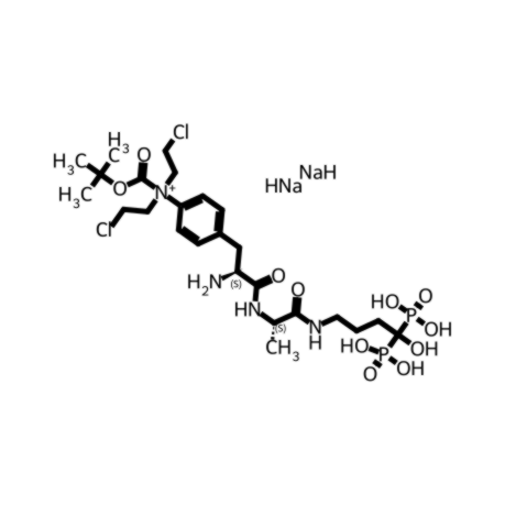 C[C@H](NC(=O)[C@@H](N)Cc1ccc([N+](CCCl)(CCCl)C(=O)OC(C)(C)C)cc1)C(=O)NCCCC(O)(P(=O)(O)O)P(=O)(O)O.[NaH].[NaH]